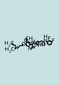 [CH2]CN(CC=C)CCCOc1cc2ncnc(Nc3cc(CC(=O)Nc4cccc(F)c4F)[nH]n3)c2cc1OC